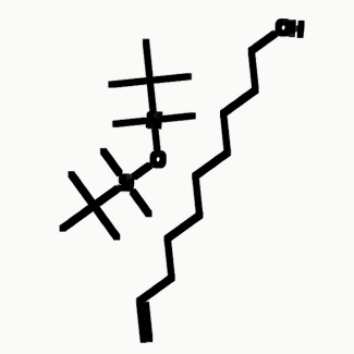 C=CCCCCCCCCO.CC(C)(C)[Si](C)(C)O[Si](C)(C)C(C)(C)C